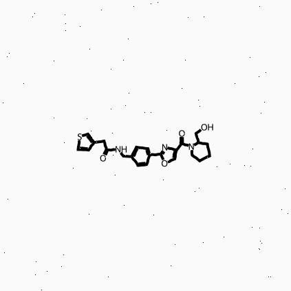 O=C(Cc1ccsc1)NCc1ccc(-c2nc(C(=O)N3CCCCC3CO)co2)cc1